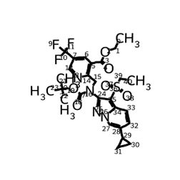 CCOC(=O)c1cc(C(F)(F)F)cnc1CN(C(=O)OC(C)(C)C)c1nn2cc(C3CC3)ccc2c1S(=O)(=O)CC